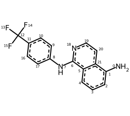 Nc1cccc2c(Nc3ccc(C(F)(F)F)cc3)nccc12